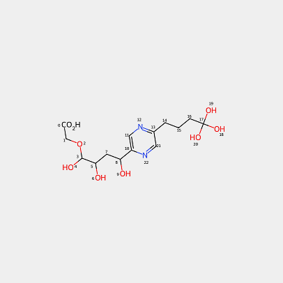 O=C(O)COC(O)C(O)CC(O)c1cnc(CCCC(O)(O)O)cn1